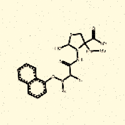 CCCC(=O)C1(NC(C)(C)C)CSC(O)N1NC(=S)C(CC)N(Oc1cccc2ccccc12)C(C)=O